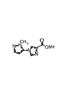 COC(=O)c1cn(-c2ccnn2C)cn1